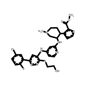 COC(=O)c1sccc1C1CCN(C)CC1Nc1cc(Nc2cc(-c3cc(Cl)ccc3F)nnc2SCCO)ccn1